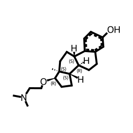 CN(C)CCO[C@@H]1CC[C@H]2[C@@H]3CCc4cc(O)ccc4[C@H]3CC[C@]12C